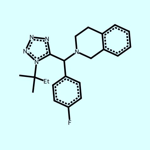 CCC(C)(C)n1nnnc1C(c1ccc(F)cc1)N1CCc2ccccc2C1